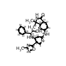 Cc1noc(-c2cnc(Nc3ccc4c(n3)C(C)(C)NC4=O)cc2N[C@H](CO)c2ccccc2)n1